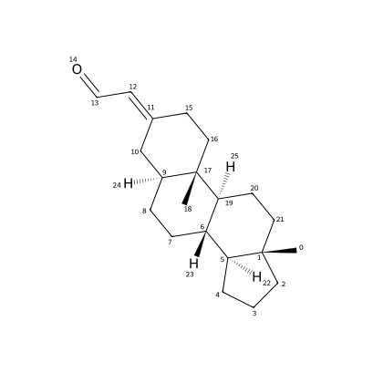 C[C@@]12CCC[C@H]1[C@@H]1CC[C@H]3C/C(=C\C=O)CC[C@]3(C)[C@H]1CC2